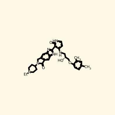 CCN1CCC(N2Cc3cc4nc(-c5c(NC[C@@H](O)COc6ccc(C)cc6C)cc[nH]c5=O)[nH]c4cc3C2=O)CC1